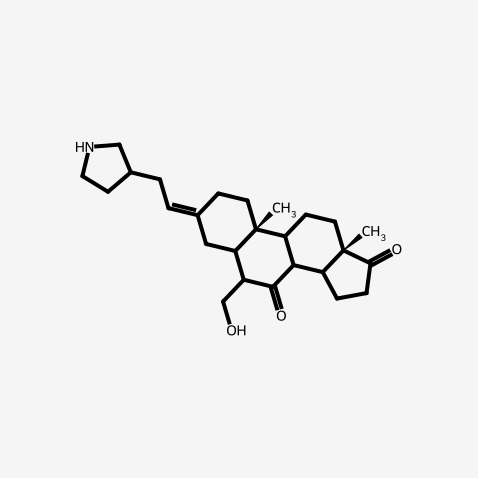 C[C@]12CC/C(=C\CC3CCNC3)CC1C(CO)C(=O)C1C2CC[C@]2(C)C(=O)CCC12